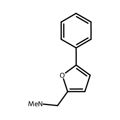 CNCc1ccc(-c2ccccc2)o1